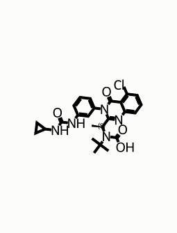 C[C@@H](c1nc2cccc(Cl)c2c(=O)n1-c1cccc(NC(=O)NC2CC2)c1)N(C(=O)O)C(C)(C)C